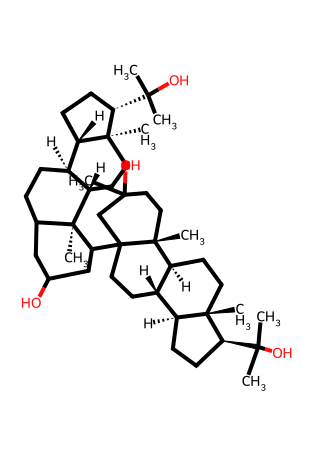 CC1(O)CC[C@]2(C)[C@H]3CC[C@]4(C)[C@@H](C(C)(C)O)CC[C@H]4[C@@H]3CCC2(C2CC(O)CC3CC[C@@H]4[C@H](CC[C@]5(C)[C@@H](C(C)(C)O)CC[C@@H]45)[C@]32C)C1